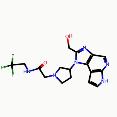 O=C(CN1CCC(n2c(CO)nc3cnc4[nH]ccc4c32)C1)NCC(F)(F)F